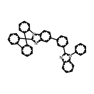 c1ccc(-n2c(-c3cccc(-c4ccc5c(c4)nc4n5-c5ccccc5C45c4ccccc4-c4ccccc45)c3)nc3ccccc32)cc1